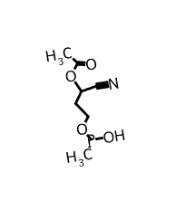 CC(=O)OC(C#N)CCOP(C)O